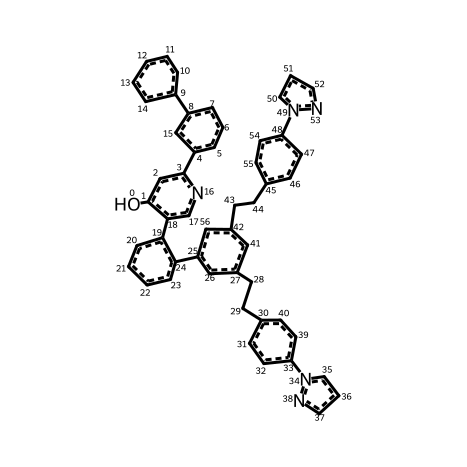 Oc1cc(-c2cccc(-c3ccccc3)c2)ncc1-c1ccccc1-c1cc(CCc2ccc(-n3cccn3)cc2)cc(CCc2ccc(-n3cccn3)cc2)c1